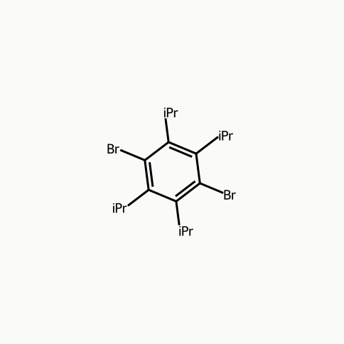 CC(C)c1c(Br)c(C(C)C)c(C(C)C)c(Br)c1C(C)C